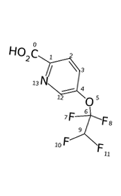 O=C(O)c1ccc(OC(F)(F)C(F)F)cn1